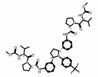 COC(=O)N[C@H](C(=O)N1CCC[C@H]1C(=O)Nc1cccc([C@H]2CC[C@H](c3cccc(NC(=O)[C@@H]4CCCN4C(=O)[C@@H](NC(=O)OC)C(C)C)c3)N2c2ccc(C(F)(F)F)cc2)c1)C(C)C